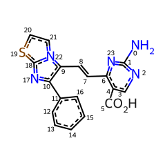 Nc1ncc(C(=O)O)c(C=Cc2c(-c3ccccc3)nc3sccn23)n1